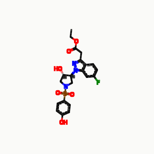 CCOC(=O)Cc1nn([C@H]2CN(S(=O)(=O)c3ccc(O)cc3)C[C@@H]2O)c2cc(F)ccc12